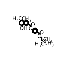 CC1(C)CCC(O)c2cc(C(=O)Oc3ccc(C(=O)OCC[Si](C)(C)C)cc3)ccc21